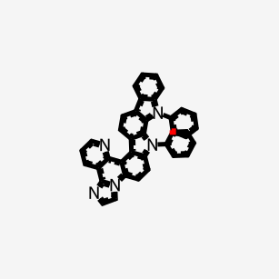 c1ccc(-n2c3ccccc3c3ccc4c5c6c7ncccc7c7nccn7c6ccc5n(-c5ccccc5)c4c32)cc1